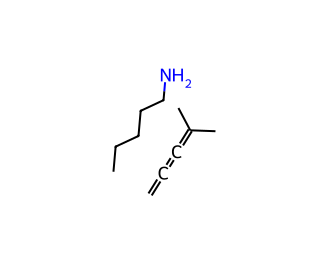 C=C=C=C(C)C.CCCCCN